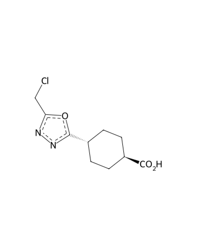 O=C(O)[C@H]1CC[C@H](c2nnc(CCl)o2)CC1